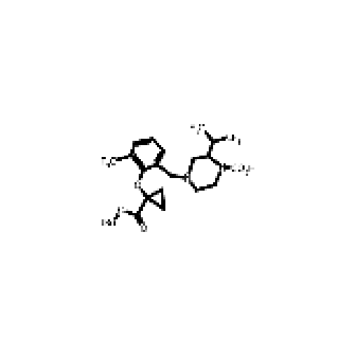 CC(C)(C)OC(=O)C1(Oc2c(CN3CCN(C(=O)O)C(C(C(F)(F)F)C(F)(F)F)C3)cccc2C(F)(F)F)CC1